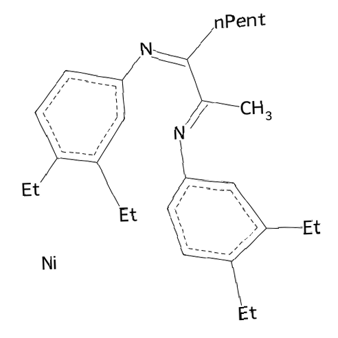 CCCCCC(=Nc1ccc(CC)c(CC)c1)C(C)=Nc1ccc(CC)c(CC)c1.[Ni]